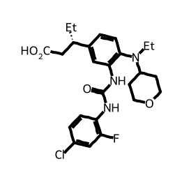 CC[C@@H](CC(=O)O)c1ccc(N(CC)C2CCOCC2)c(NC(=O)Nc2ccc(Cl)cc2F)c1